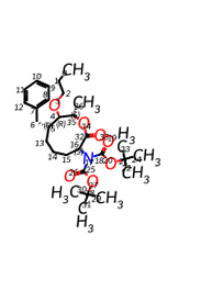 CCCO[C@@H]1[C@@H](Cc2ccccc2)CCC[C@H](N(C(=O)OC(C)(C)C)C(=O)OC(C)(C)C)C(=O)O[C@H]1C